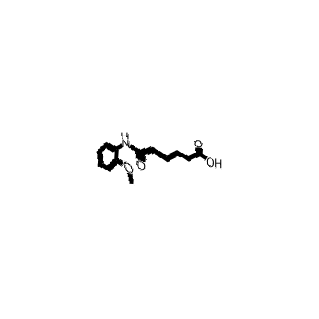 COc1ccccc1NC(=O)CCCCC(=O)O